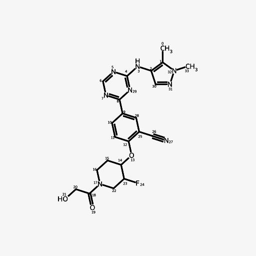 Cc1c(Nc2ncnc(-c3ccc(OC4CCN(C(=O)CO)CC4F)c(C#N)c3)n2)cnn1C